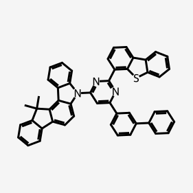 CC1(C)c2ccccc2-c2ccc3c(c21)c1ccccc1n3-c1cc(-c2cccc(-c3ccccc3)c2)nc(-c2cccc3c2sc2ccccc23)n1